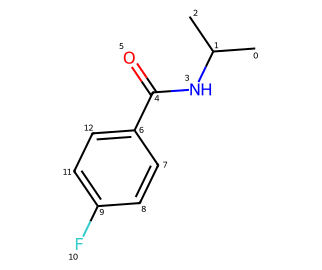 CC(C)NC(=O)c1ccc(F)cc1